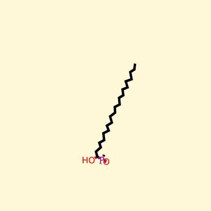 CCCCCCCCCCCCCCCCCCCCCC(O)P(C)(C)=O